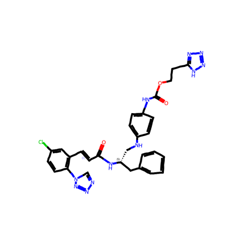 O=C(/C=C/c1cc(Cl)ccc1-n1cnnn1)N[C@H](CNc1ccc(NC(=O)OCCc2nnn[nH]2)cc1)Cc1ccccc1